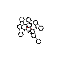 C1=Cc2c(c3ccc4c5ccccc5n(-c5nc(-c6ccc(-c7ccccc7)cc6)nc(-n6c7ccccc7c7ccc8c9ccccc9n(-c9ccccc9)c8c76)n5)c4c3n2-c2ccccc2)CC1